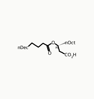 CCCCCCCCCCCCCC(=O)O[C@H](CCCCCCCC)CC(=O)O